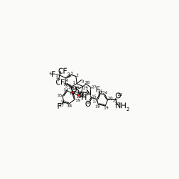 CC12CC=C(C(F)(C(F)(F)F)C(F)(F)F)C=C1CC[C@H]1N(C(=O)c3ccc(C(N)=O)cc3F)CC[C@]12S(=O)(=O)c1ccc(F)cc1